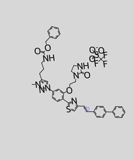 C[n+]1nn(-c2ccc(-c3nc(/C=C/c4ccc(-c5ccccc5)cc4)cs3)c(OCCN3CCNC3=O)c2)cc1CCCNC(=O)OCc1ccccc1.O=S(=O)([O-])C(F)(F)F